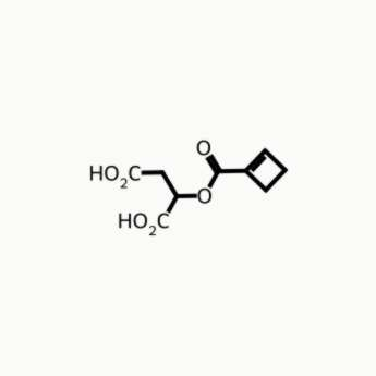 O=C(O)CC(OC(=O)C1=CCC1)C(=O)O